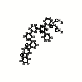 C=CC1=C(C)C2C=CCC(c3nc(C4=CCCC(c5cccc(-c6cccc7c6oc6cc8oc9ccccc9c8cc67)c5)=C4)nc(-c4ccccc4)n3)C2O1